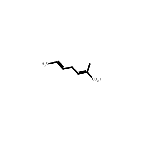 CC(=CCC=C[SiH3])C(=O)O